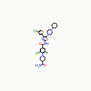 NC(=O)C1CCN(c2c(F)cc(C(=O)Nc3nc(-c4cc(Cl)cs4)c(N4CCN(C5CCCCC5)CC4)s3)cc2Cl)CC1